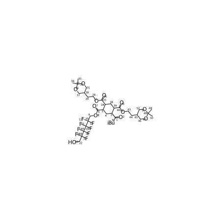 CCC(C)C(=O)C1CC(C(=O)OCC(F)(F)C(F)(F)C(F)(F)C(F)(F)CO)C(C(=O)OCCC2COC(C)(C)OC2)CC1C(=O)OCCC1COC(C)(C)OC1